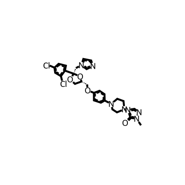 Cn1ncn(N2CCN(c3ccc(OC[C@@H]4CO[C@@](Cn5ccnc5)(c5ccc(Cl)cc5Cl)O4)cc3)CC2)c1=O